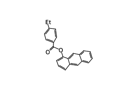 CCc1ccc(C(=O)Oc2cccc3cc4ccccc4cc23)cc1